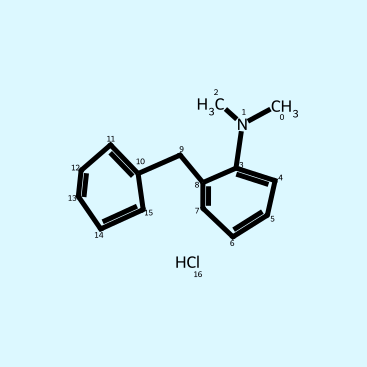 CN(C)c1ccccc1Cc1ccccc1.Cl